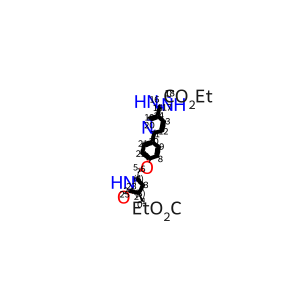 CCOC(=O)C[C@@H]1C[C@@H](COc2ccc(-c3ccc(C(=N)NC(=O)OCC)cn3)cc2)NC1=O